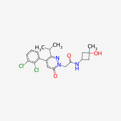 CC(C)c1nn(CC(=O)NC2CC(C)(O)C2)c(=O)cc1-c1cccc(Cl)c1Cl